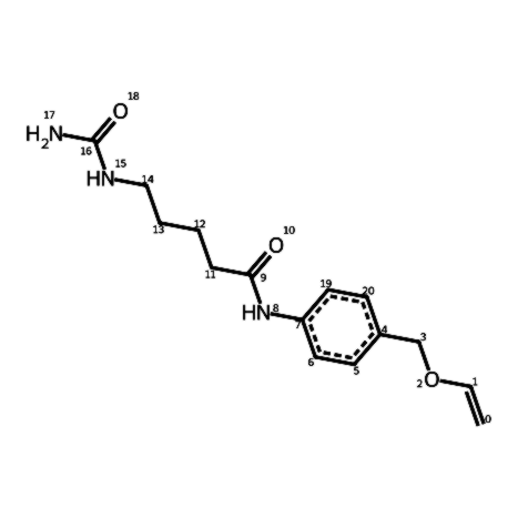 C=COCc1ccc(NC(=O)CCCCNC(N)=O)cc1